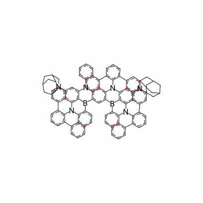 c1ccc(-c2cccc(-c3ccccc3)c2N2c3ccccc3B3c4cc5c(cc4N(c4ccccc4)c4cc(N6CC7CC8CC7CC6C8)cc2c43)N(c2c(-c3ccccc3)cccc2-c2ccccc2)c2cc(N3C4CC6CC(C4)CC3C6)cc3c2B5c2ccccc2N3c2c(-c3ccccc3)cccc2-c2ccccc2)cc1